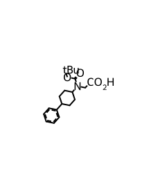 CC(C)(C)OC(=O)N(CC(=O)O)C1CCC(c2ccccc2)CC1